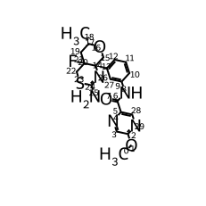 COc1cnc(C(=O)Nc2cccc([C@]34CO[C@@H](C)C[C@@]3(F)CSC(N)=N4)c2)cn1